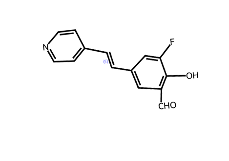 O=Cc1cc(/C=C/c2ccncc2)cc(F)c1O